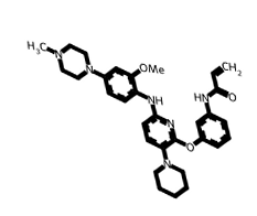 C=CC(=O)Nc1cccc(Oc2nc(Nc3ccc(N4CCN(C)CC4)cc3OC)ccc2N2CCCCC2)c1